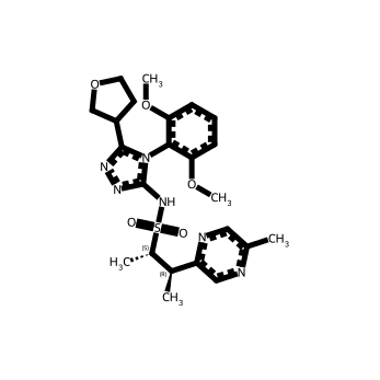 COc1cccc(OC)c1-n1c(NS(=O)(=O)[C@@H](C)[C@H](C)c2cnc(C)cn2)nnc1C1CCOC1